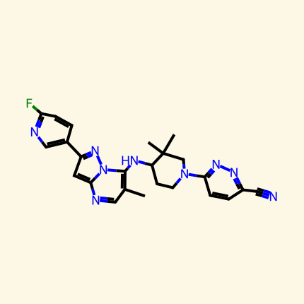 Cc1cnc2cc(-c3ccc(F)nc3)nn2c1NC1CCN(c2ccc(C#N)nn2)CC1(C)C